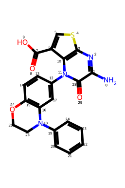 Nc1nc2scc(C(=O)O)c2n(-c2ccc3c(c2)N(c2ccccc2)CCO3)c1=O